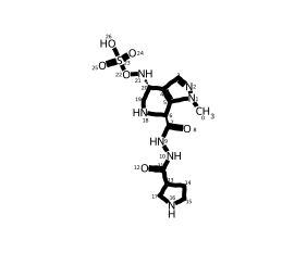 Cn1ncc2c1[C@@H](C(=O)NNC(=O)C1CCNC1)NC[C@@H]2NOS(=O)(=O)O